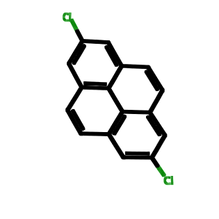 Clc1cc2ccc3cc(Cl)cc4ccc(c1)c2c34